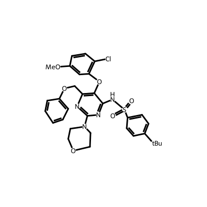 COc1ccc(Cl)c(Oc2c(COc3ccccc3)nc(N3CCOCC3)nc2NS(=O)(=O)c2ccc(C(C)(C)C)cc2)c1